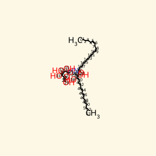 CCCCC/C=C\C/C=C\CCCCCCCCCC(=O)N[C@@H](COC1OC(CO)C(O)C(O)[C@H]1O)[C@H](O)[C@H](O)CCCCCCCCCCCCCC